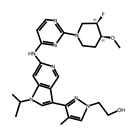 CO[C@H]1CCN(c2nccc(Nc3cc4c(cn3)c(-c3nn(CCO)cc3C)cn4C(C)C)n2)C[C@H]1F